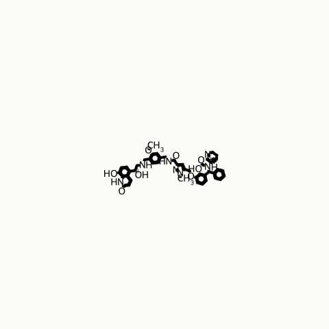 COc1cc(CNC(=O)c2cc(COc3cccc(C(c4ccccc4)N(C(=O)O)[C@H]4CN5CCC4CC5)c3)n(C)n2)ccc1CNC[C@@H](O)c1ccc(O)c2[nH]c(=O)ccc12